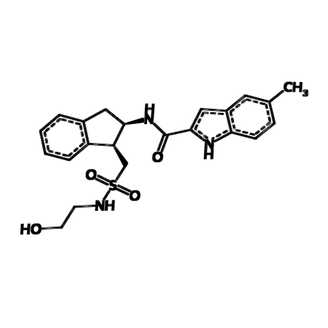 Cc1ccc2[nH]c(C(=O)N[C@@H]3Cc4ccccc4[C@@H]3CS(=O)(=O)NCCO)cc2c1